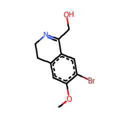 COc1cc2c(cc1Br)C(CO)=NCC2